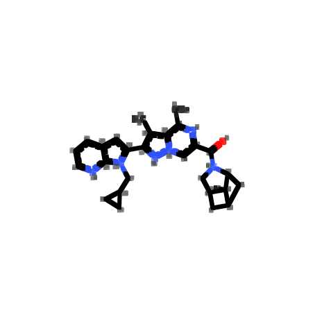 COc1nc(C(=O)N2CC3CC4CC2[C@H]43)cn2nc(-c3cc4cccnc4n3CC3CC3)c(C)c12